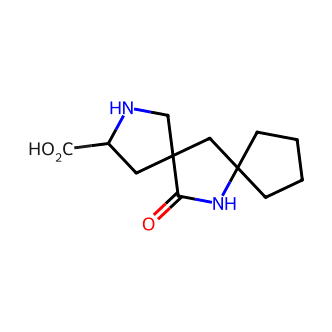 O=C(O)C1CC2(CN1)CC1(CCCC1)NC2=O